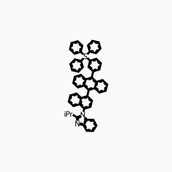 CC(C)c1nc2ccccc2n1-c1ccc(-c2c3ccccc3c(-c3cccc(S(c4ccccc4)(c4ccccc4)c4ccccc4)c3)c3ccccc23)c2ccccc12